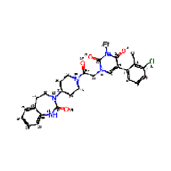 CCn1c(=O)c(-c2cccc(Cl)c2C)cn(CC(=O)N2CCC(N3CCc4ccccc4NC3=O)CC2)c1=O